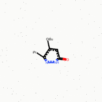 CC(C)COc1cc(=O)[nH]nc1C(C)C